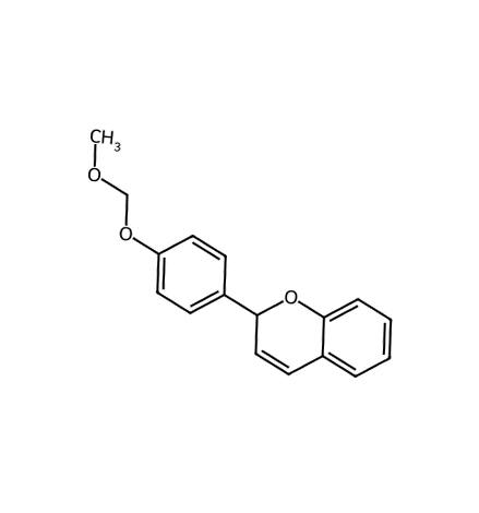 COCOc1ccc(C2C=Cc3ccccc3O2)cc1